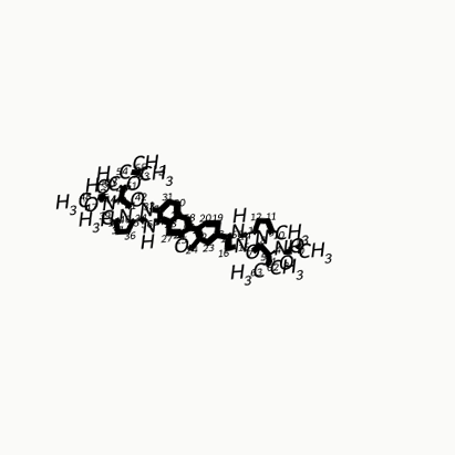 COC(=O)N[C@H](C(=O)N1[C@@H](C)CC[C@H]1c1ncc(-c2ccc3c(c2)COc2cc4c(ccc5nc([C@@H]6CC[C@H](C)N6C(=O)[C@@H](NC(=O)OC)[C@@H](C)OC(C)(C)C)[nH]c54)cc2-3)[nH]1)C(C)C